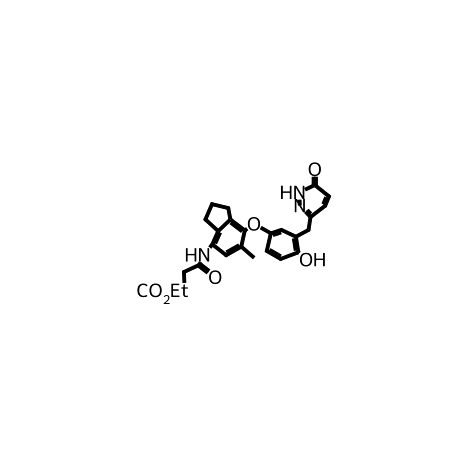 CCOC(=O)CC(=O)Nc1cc(C)c(Oc2ccc(O)c(Cc3ccc(=O)[nH]n3)c2)c2c1CCC2